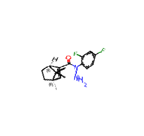 CC1(C)[C@H]2CC[C@]1(C)C=C2C(=O)N(N)c1ccc(F)cc1F